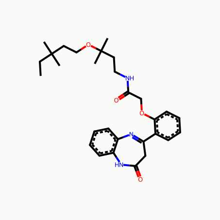 CCC(C)(C)CCOC(C)(C)CCNC(=O)COc1ccccc1C1=Nc2ccccc2NC(=O)C1